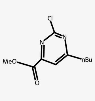 CCCCc1cc(C(=O)OC)nc(Cl)n1